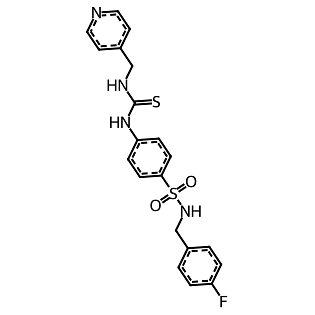 O=S(=O)(NCc1ccc(F)cc1)c1ccc(NC(=S)NCc2ccncc2)cc1